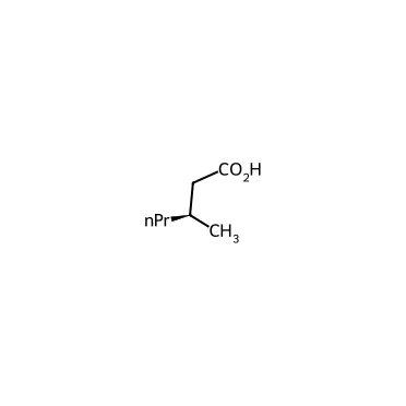 CCC[C@H](C)CC(=O)O